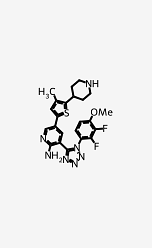 COc1ccc(-n2nnnc2-c2cc(-c3cc(C)c(C4CCNCC4)s3)cnc2N)c(F)c1F